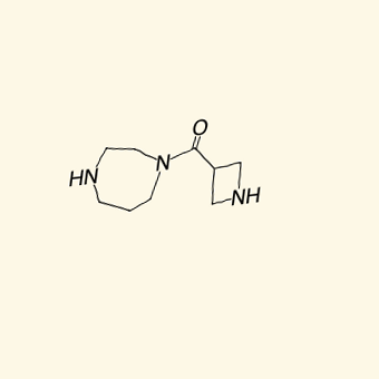 O=C(C1CNC1)N1CCCNCC1